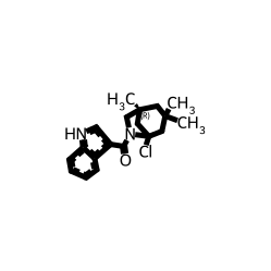 CC1(C)CC2(Cl)C[C@](C)(CN2C(=O)c2c[nH]c3ccccc23)C1